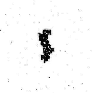 C[C@@H](Oc1ccc(Oc2ncc(C(F)(F)F)cc2F)cc1)C(=O)O